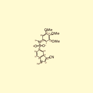 COc1cc(N(C)S(=O)(=O)c2ccc3c(c2)c(C#N)cn3C)cc(OC)c1OC